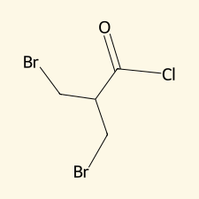 O=C(Cl)C(CBr)CBr